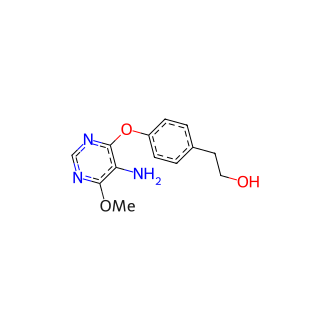 COc1ncnc(Oc2ccc(CCO)cc2)c1N